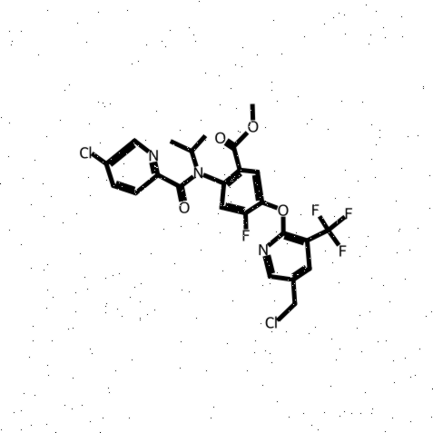 COC(=O)c1cc(Oc2ncc(CCl)cc2C(F)(F)F)c(F)cc1N(C(=O)c1ccc(Cl)cn1)C(C)C